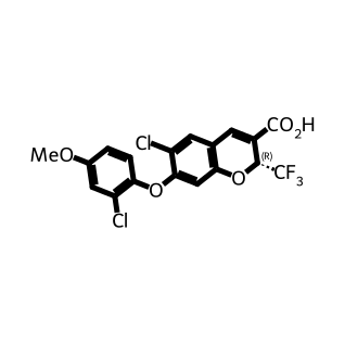 COc1ccc(Oc2cc3c(cc2Cl)C=C(C(=O)O)[C@H](C(F)(F)F)O3)c(Cl)c1